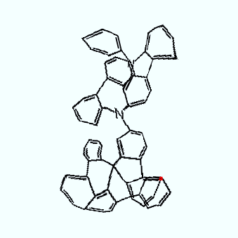 c1ccc(-c2ccccc2N(c2ccc3c(c2)C2(c4ccccc4-3)c3ccccc3-c3cccc4ccc(-c5ccccc5)c2c34)c2ccc3c4ccccc4n(-c4ccccc4)c3c2)cc1